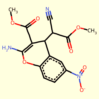 COC(=O)C1=C(N)Oc2ccc([N+](=O)[O-])cc2C1C(C#N)C(=O)OC